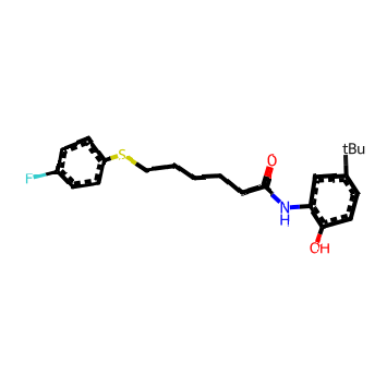 CC(C)(C)c1ccc(O)c(NC(=O)CCCCCSc2ccc(F)cc2)c1